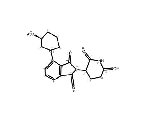 CC(=O)O[C@H]1CCCN(c2cccc3c2C(=O)N(C2CCC(=O)NC2=O)C3=O)C1